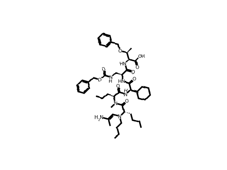 CCCC[C@@H](C(=O)N(C)[C@@H](CCC)C(=O)NC(C(=O)N[C@@H](CNC(=O)OCc1ccccc1)C(=O)N[C@H](C(=O)O)[C@H](C)OCc1ccccc1)C1CCCCC1)N(/C=C(\C)N)CCCC